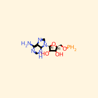 NC1=C2N=CN([C@@H]3O[C@H](COP)C(O)C3O)C2NC=N1